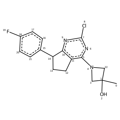 CC1(O)CN(c2nc(Cl)nc3c2CCC3c2ccc(F)cc2)C1